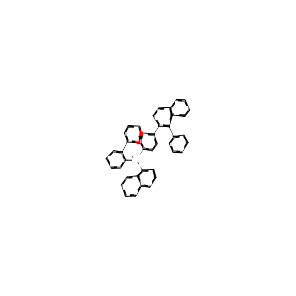 c1ccc(-c2ccccc2N(c2ccc(-c3ccc4ccccc4c3-c3ccccc3)cc2)c2cccc3ccccc23)cc1